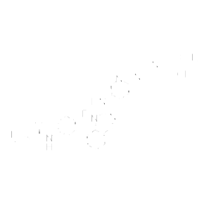 C=CC(=O)Nc1ccc(F)c(-c2cccc3cnc(Nc4ccc(N5CCN(CC(C)O)CC5)nc4)nc23)c1